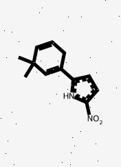 CC1(C)C=CCC(c2ccc([N+](=O)[O-])[nH]2)=C1